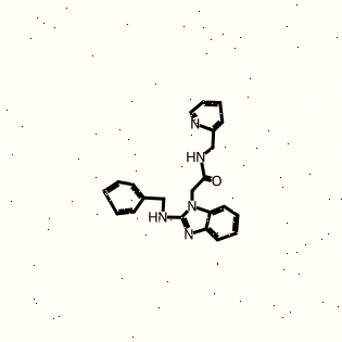 O=C(Cn1c(NCc2ccccc2)nc2ccccc21)NCc1ccccn1